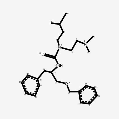 CC(C)CCN(CCN(C)C)C(=O)NC(COCc1ccccc1)Cc1ccccc1